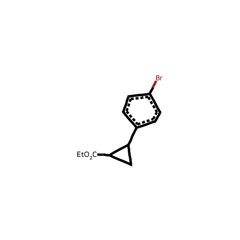 CCOC(=O)C1CC1c1ccc(Br)cc1